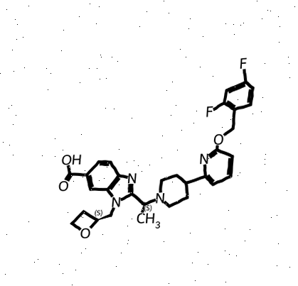 C[C@@H](c1nc2ccc(C(=O)O)cc2n1C[C@@H]1CCO1)N1CCC(c2cccc(OCc3ccc(F)cc3F)n2)CC1